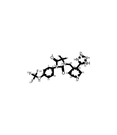 CC1(C)C(=O)N(c2ccc(OC(F)(F)F)cc2)C(=O)N1Cc1ccncc1-c1nnn[nH]1